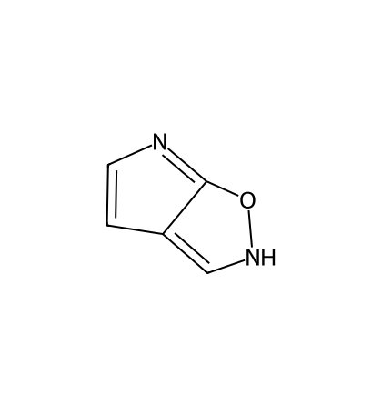 c1cc2c[nH]oc-2n1